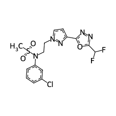 CS(=O)(=O)N(CCn1ccc(-c2nnc(C(F)F)o2)n1)c1cccc(Cl)c1